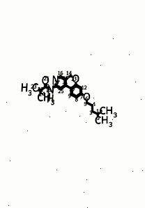 CC(C)CCCOc1ccc2c(c1)OCc1cnc(NC(=O)C(C)C)cc1-2